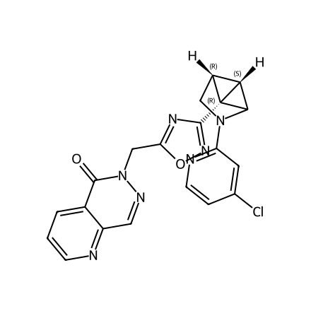 O=c1c2cccnc2cnn1Cc1nc([C@@]23C4[C@H]2[C@H]3CN4c2cc(Cl)ccn2)no1